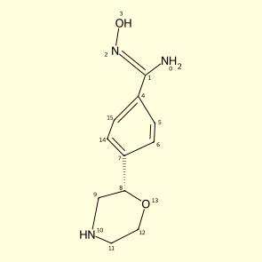 N/C(=N\O)c1ccc([C@H]2CNCCO2)cc1